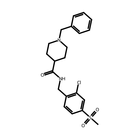 CS(=O)(=O)c1ccc(CNC(=O)C2CCN(Cc3ccccc3)CC2)c(Cl)c1